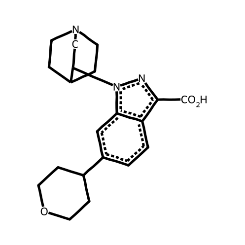 O=C(O)c1nn(C2CN3CCC2CC3)c2cc(C3CCOCC3)ccc12